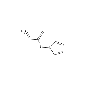 C=CC(=O)On1cccc1